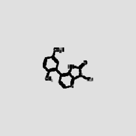 CCC(C)n1c(=O)[nH]c2c(-c3cc(C(=O)O)ccc3C)ccnc21